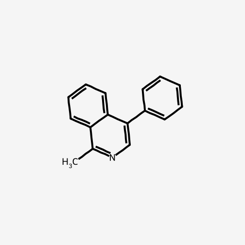 Cc1ncc(-c2ccccc2)c2ccccc12